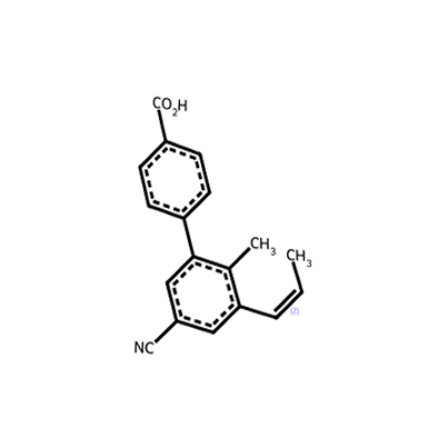 C/C=C\c1cc(C#N)cc(-c2ccc(C(=O)O)cc2)c1C